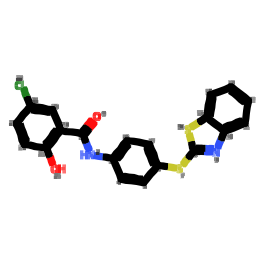 O=C(Nc1ccc(Sc2nc3ccccc3s2)cc1)c1cc(Cl)ccc1O